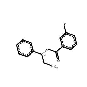 O=C(C[C@H](C[N+](=O)[O-])c1ccccc1)c1cccc(Br)c1